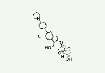 OCn1c(O[C@@H]2CO[C@H]3[C@@H]2OC[C@H]3O)cc2nc(-c3ccc(N4CCCC4)cc3)c(Cl)cc21